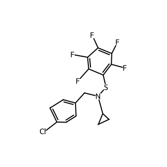 Fc1c(F)c(F)c(SN(Cc2ccc(Cl)cc2)C2CC2)c(F)c1F